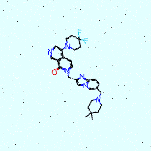 CC1(C)CCN(Cc2ccc3nc(Cn4ccc5c(N6CCC(F)(F)CC6)cncc5c4=O)cn3c2)CC1